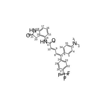 CN(C)c1ccc(/C(=C\C=C\C(=O)Nc2cccc3c2CC(=O)N3)c2ccc(C(F)(F)F)cc2)cc1